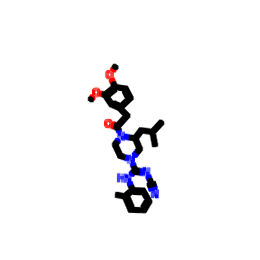 COc1ccc(CC(=O)N2CCN(C(=NC#N)Nc3ccccc3C)CC2CC(C)C)cc1OC